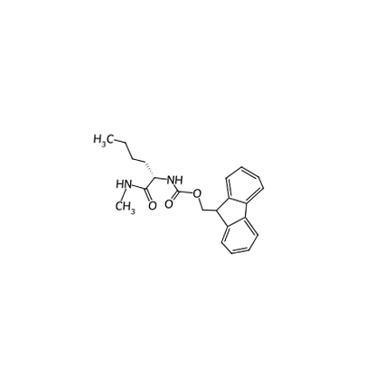 CCCC[C@H](NC(=O)OCC1c2ccccc2-c2ccccc21)C(=O)NC